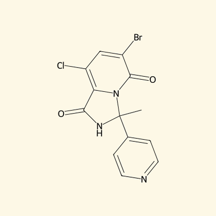 CC1(c2ccncc2)NC(=O)c2c(Cl)cc(Br)c(=O)n21